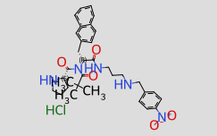 CC(C)(C)C(=O)N(C(=O)[C@@H]1CCCN1)[C@H](Cc1ccc2ccccc2c1)C(=O)NCCCNCc1ccc([N+](=O)[O-])cc1.Cl